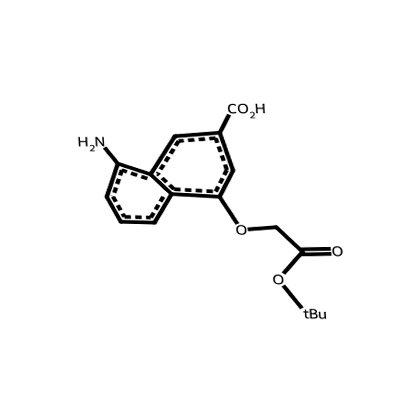 CC(C)(C)OC(=O)COc1cc(C(=O)O)cc2c(N)cccc12